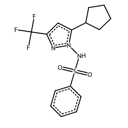 O=S(=O)(Nn1nc(C(F)(F)F)cc1C1CCCC1)c1ccccc1